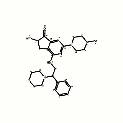 CCCN1Cc2c(NCC(c3ccccc3)N3CCOCC3)nc(N3CCN(C(C)=O)CC3)nc2C1=O